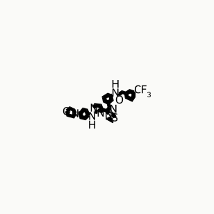 O=C(Cc1cccc(C(F)(F)F)c1)Nc1cccc(-c2nc3sccn3c2-c2ccnc(Nc3ccc(N4CCOCC4)cc3)n2)c1